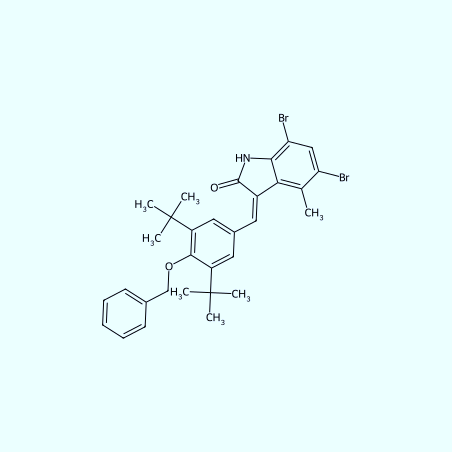 Cc1c(Br)cc(Br)c2c1C(=Cc1cc(C(C)(C)C)c(OCc3ccccc3)c(C(C)(C)C)c1)C(=O)N2